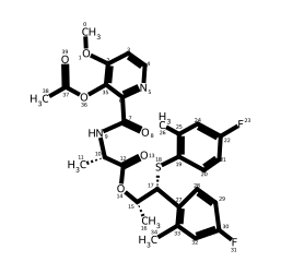 COc1ccnc(C(=O)N[C@@H](C)C(=O)O[C@@H](C)[C@H](Sc2ccc(F)cc2C)c2ccc(F)cc2C)c1OC(C)=O